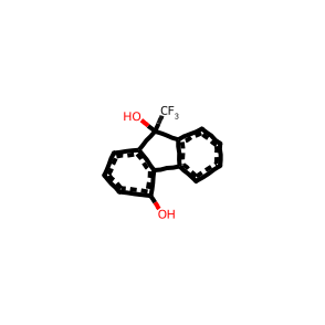 Oc1cccc2c1-c1ccccc1C2(O)C(F)(F)F